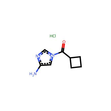 Cl.Nc1cn(C(=O)C2CCC2)cn1